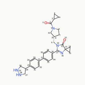 O=C(C1CC1)N1CC[C@H](CN2C(=O)C3(CC3)N=C2c2ccc(-c3ccc(C4CNNC4)cc3)cc2)C1